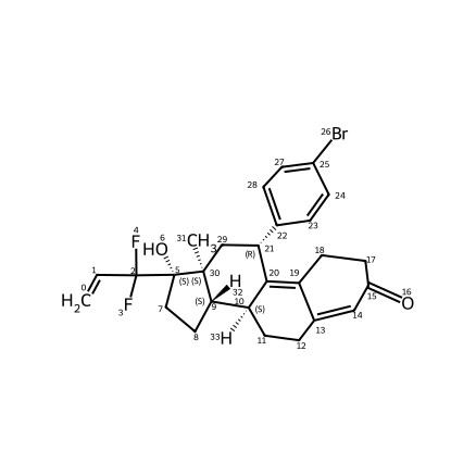 C=CC(F)(F)[C@]1(O)CC[C@H]2[C@@H]3CCC4=CC(=O)CCC4=C3[C@@H](c3ccc(Br)cc3)C[C@@]21C